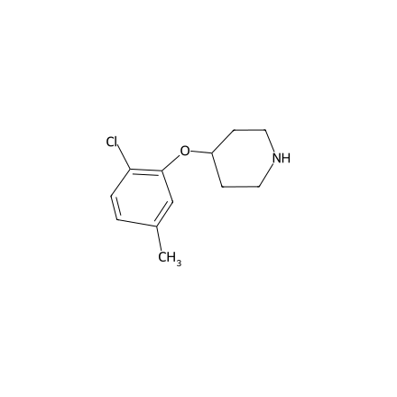 Cc1ccc(Cl)c(OC2CCNCC2)c1